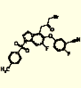 Cc1ccc(S(=O)(=O)n2ccc3c(CC(=O)CBr)c(Oc4ccc(F)c(C#N)c4)c(F)cc32)cc1